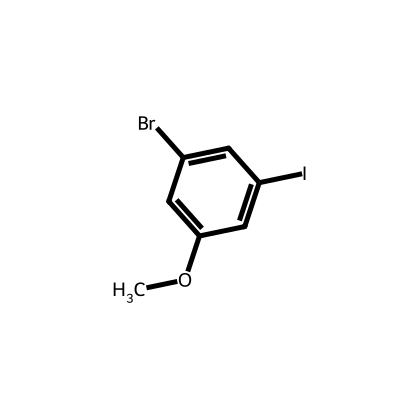 COc1cc(Br)cc(I)c1